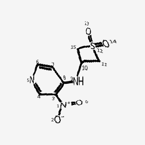 O=[N+]([O-])c1cnccc1NC1CS(=O)(=O)C1